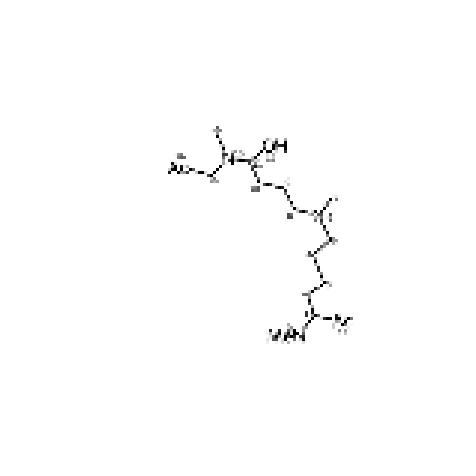 CNC(CCCCN(C)CCCC(O)N(C)CC(C)=O)C(C)=O